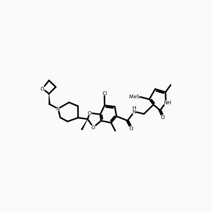 CSc1cc(C)[nH]c(=O)c1CNC(=O)c1cc(Cl)c2c(c1C)O[C@](C)(C1CCN(C[C@@H]3CCO3)CC1)O2